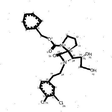 O=C(OCc1ccccc1)N1CCC[C@@]12C(=O)N(CCc1ccc(Cl)c(Cl)c1)[C@H]2[C@H](O)CO